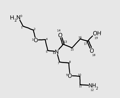 NCCOCCN(CCOCCN)C(=O)CCC(=O)O